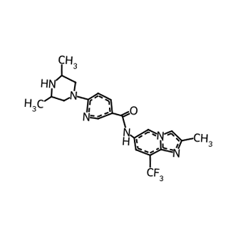 Cc1cn2cc(NC(=O)c3ccc(N4CC(C)NC(C)C4)nc3)cc(C(F)(F)F)c2n1